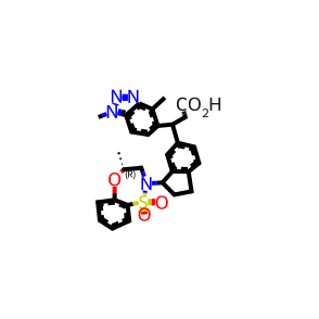 Cc1c(C(CC(=O)O)c2ccc3c(c2)C(N2C[C@@H](C)Oc4ccccc4S2(=O)=O)CC3)ccc2c1nnn2C